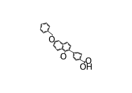 COc1c(-c2ccc(C(=O)O)cc2)ccc2cc(OCc3ccccc3)ccc12